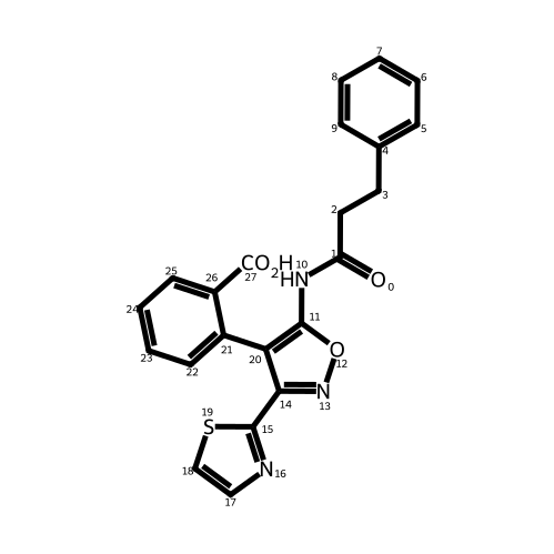 O=C(CCc1ccccc1)Nc1onc(-c2nccs2)c1-c1ccccc1C(=O)O